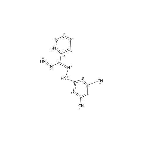 N#Cc1cc(C#N)cc(N/N=C(\N=N)c2ccccn2)c1